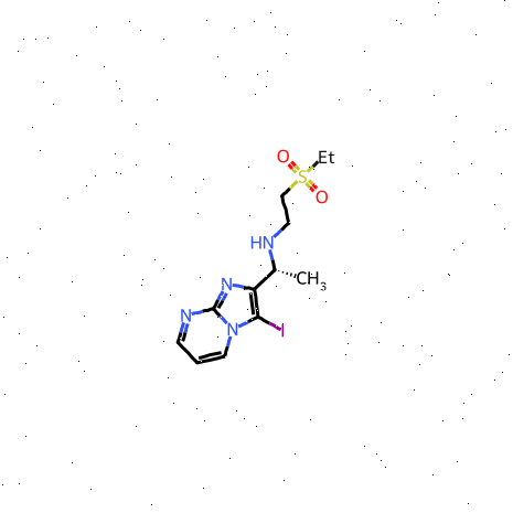 CCS(=O)(=O)CCN[C@H](C)c1nc2ncccn2c1I